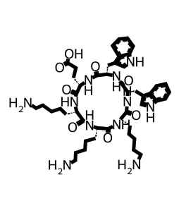 NCCCCC[C@@H]1NC(=O)[C@H](CCCCCN)NC(=O)[C@H](CCC(=O)O)NC(=O)[C@H](Cc2c[nH]c3ccccc23)NC(=O)[C@H](Cc2c[nH]c3ccccc23)NC(=O)[C@H](CCCCCN)NC1=O